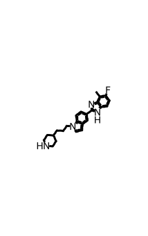 Cc1c(F)ccc2[nH]c(-c3ccc4c(ccn4CCCC4CCNCC4)c3)nc12